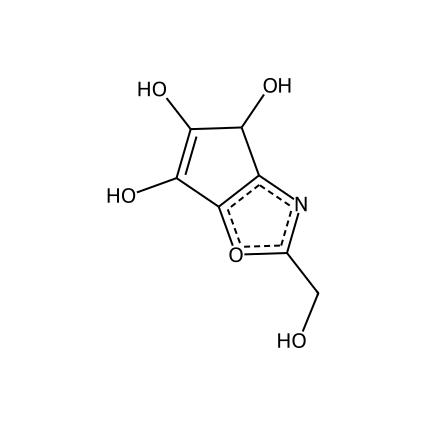 OCc1nc2c(o1)C(O)=C(O)C2O